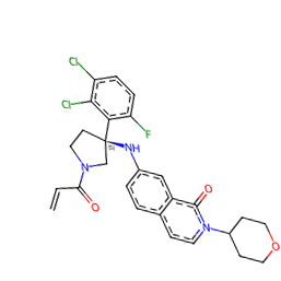 C=CC(=O)N1CC[C@](Nc2ccc3ccn(C4CCOCC4)c(=O)c3c2)(c2c(F)ccc(Cl)c2Cl)C1